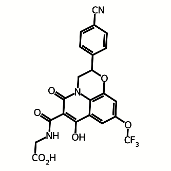 N#Cc1ccc(C2Cn3c(=O)c(C(=O)NCC(=O)O)c(O)c4cc(OC(F)(F)F)cc(c43)O2)cc1